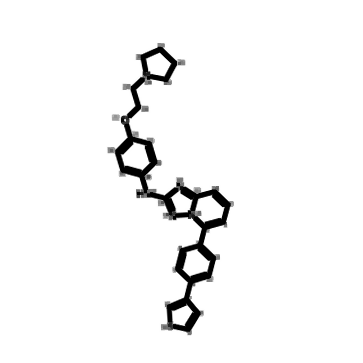 c1cc(-c2ccc(-c3ccsc3)cc2)n2nc(Nc3ccc(OCCN4CCCC4)cc3)nc2c1